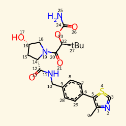 Cc1ncsc1-c1ccc(CNC(=O)[C@@H]2C[C@H](O)CN2C(=O)[C@@H](OC(N)=O)C(C)(C)C)cc1